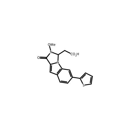 CON1C(=O)c2cc3ccc(-c4cccs4)cc3n2C1CC(=O)O